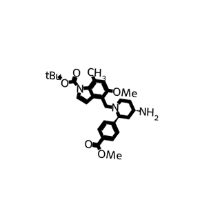 COC(=O)c1ccc([C@@H]2C[C@@H](N)CCN2Cc2c(OC)cc(C)c3c2ccn3C(=O)OC(C)(C)C)cc1